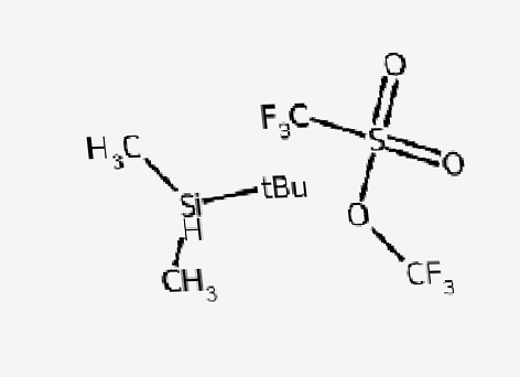 C[SiH](C)C(C)(C)C.O=S(=O)(OC(F)(F)F)C(F)(F)F